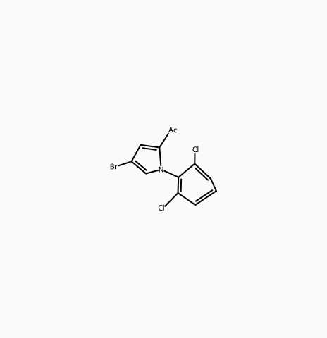 CC(=O)c1cc(Br)cn1-c1c(Cl)cccc1Cl